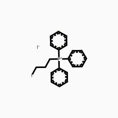 ICCC[P+](c1ccccc1)(c1ccccc1)c1ccccc1.[I-]